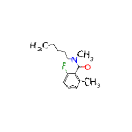 CCCCCN(C)C(=O)c1c(C)cccc1F